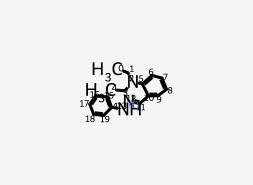 CCN(CC)c1ccccc1/C=N/Nc1ccccc1